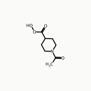 CC(=O)N1CCC(C(=O)OO)CC1